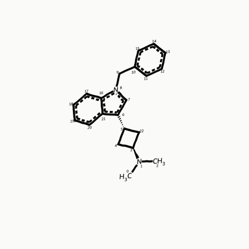 CN(C)[C@H]1C[C@H](c2cn(Cc3ccccc3)c3cc[c]cc32)C1